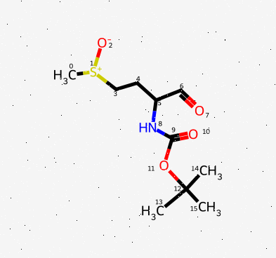 C[S+]([O-])CCC(C=O)NC(=O)OC(C)(C)C